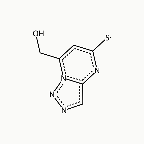 OCc1cc([S])nc2cnnn12